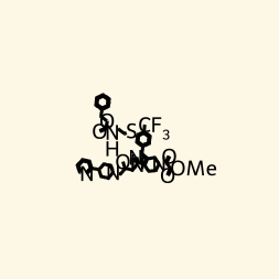 COC(=O)C(=O)N1CCc2c(c(-c3ccc(C(F)(F)F)c(SCCNC(=O)OCc4ccccc4)c3)nn2CC(O)CN2CCC(c3ccccn3)CC2)C1